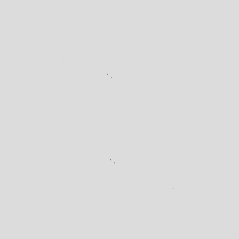 CC(C)(C)c1cccc2nc(-c3ccc(-n4c5ccccc5c5ccccc54)cc3)oc12